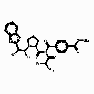 CC(C)[C@@H](C(O)c1nc2ccccc2o1)N1CCC[C@H]1C(=O)N(C(=O)c1ccc(C(=O)OC(C)(C)C)cc1)C(=O)[C@@H](N)C(C)C